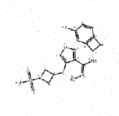 NS(=O)(=O)N1CC(Sc2nonc2/C(=N\O)N[C@H]2Cc3ccc(F)cc32)C1